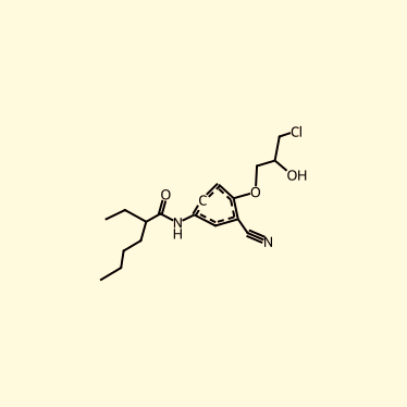 CCCCC(CC)C(=O)Nc1ccc(OCC(O)CCl)c(C#N)c1